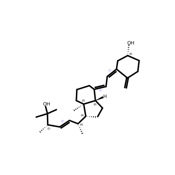 C=C1CC[C@@H](O)C/C1=C/C=C1\CCC[C@]2(C)[C@@H]([C@H](C)/C=C/[C@H](C)C(C)(C)O)CC[C@@H]12